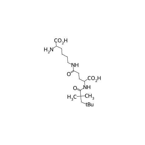 CC(C)(C)CC(C)(C)C(=O)NC(CCC(=O)NCCCCC(N)C(=O)O)C(=O)O